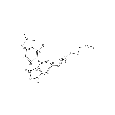 [CH2]C(C)C.[CH2]CCCN.[CH2]c1ccc2c(c1)OCO2.[CH2]c1ccccc1.[CH3]